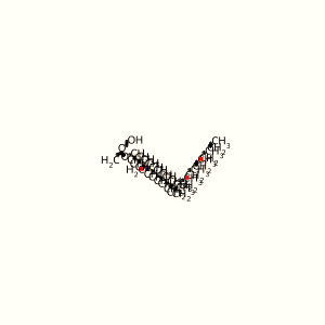 C=CC.C=CC.C=CC.C=CC.C=CC.C=CC.C=CC.C=CC.C=CC.C=CC.C=CC.C=CC.C=CC.C=CC.C=CC.C=CC.C=CC(=O)OCCO